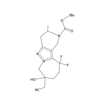 CC1Cc2nn3c(c2CN1C(=O)OC(C)(C)C)C(F)(F)CCC(O)(CC#N)C3